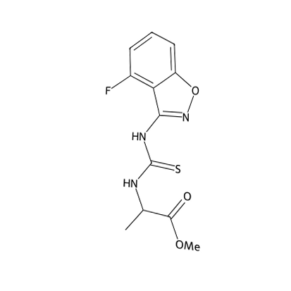 COC(=O)C(C)NC(=S)Nc1noc2cccc(F)c12